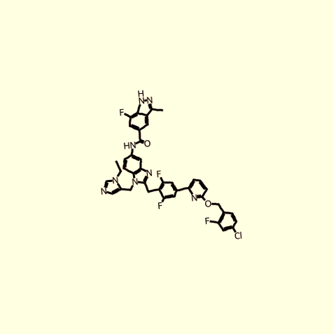 CCn1cncc1Cn1c(Cc2c(F)cc(-c3cccc(OCc4ccc(Cl)cc4F)n3)cc2F)nc2cc(NC(=O)c3cc(F)c4[nH]nc(C)c4c3)ccc21